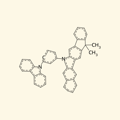 CC1(C)c2ccccc2-c2cc3c(cc21)c1cc2ccccc2cc1n3-c1cccc(-n2c3ccccc3c3ccccc32)c1